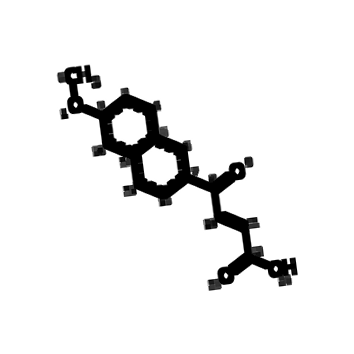 COc1ccc2cc(C(=O)/C=C/C(=O)O)ccc2c1